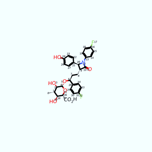 C[C@@H]1[C@@H](O)[C@H](O[C@@H](CC[C@H]2C(=O)N(c3ccc(F)cc3)[C@@H]2c2ccc(O)cc2)c2ccc(F)cc2)O[C@H](C(=O)O)[C@H]1O